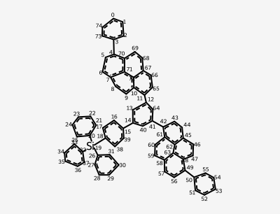 c1ccc(-c2ccc3ccc4c(-c5cc(-c6ccc([Si](c7ccccc7)(c7ccccc7)c7ccccc7)cc6)cc(-c6ccc7ccc8c(-c9ccccc9)ccc9ccc6c7c98)c5)ccc5ccc2c3c54)cc1